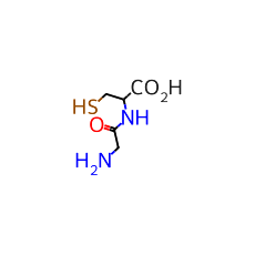 NCC(=O)NC(CS)C(=O)O